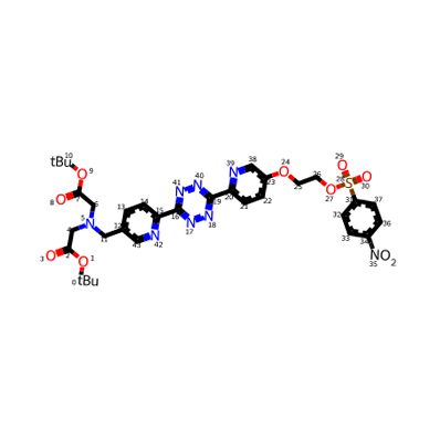 CC(C)(C)OC(=O)CN(CC(=O)OC(C)(C)C)Cc1ccc(-c2nnc(-c3ccc(OCCOS(=O)(=O)c4ccc([N+](=O)[O-])cc4)cn3)nn2)nc1